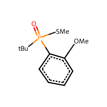 COc1ccccc1P(=O)(SC)C(C)(C)C